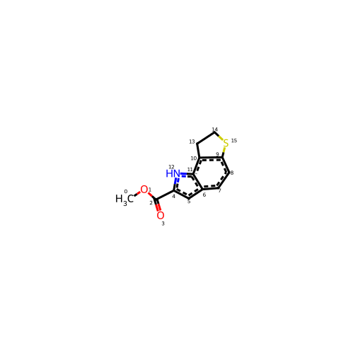 COC(=O)c1cc2ccc3c(c2[nH]1)CCS3